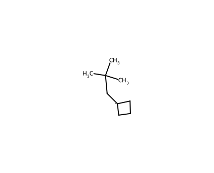 CC(C)(C)C[C]1CCC1